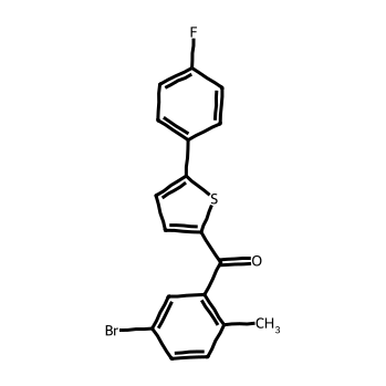 Cc1ccc(Br)cc1C(=O)c1ccc(-c2ccc(F)cc2)s1